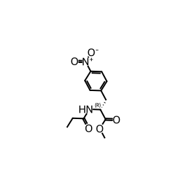 CCC(=O)N[C@H](Cc1ccc([N+](=O)[O-])cc1)C(=O)OC